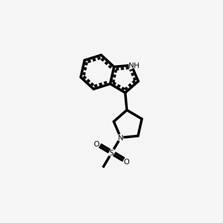 CS(=O)(=O)N1CCC(c2c[nH]c3ccccc23)C1